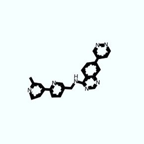 Cc1cc(-c2ccc(CNc3ncnc4cc(-c5ccnnc5)ccc34)cn2)ccn1